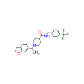 CC(c1ccc2c(c1)OCC2)N1CCC(C(=O)NCc2ccc(C(F)(F)F)cc2)CC1